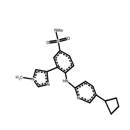 CNS(=O)(=O)c1ccc(Nc2ccc(C3CCC3)cn2)c(-c2cn(C)cn2)c1